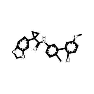 COc1ccc(Cl)c(-c2cc(NC(=O)C3(c4ccc5c(c4)OCO5)CC3)ccc2C)c1